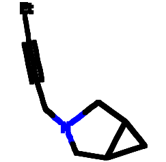 CCC#CCN1CC2CC2C1